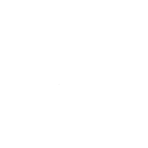 CCCCCCCCCOC(OCCOCCOCCOCC)C(=O)O